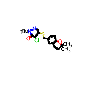 CC1(C)C=Cc2cc(CSc3cnn(C(C)(C)C)c(=O)c3Cl)ccc2O1